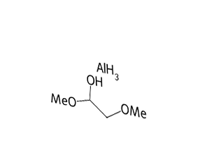 COCC(O)OC.[AlH3]